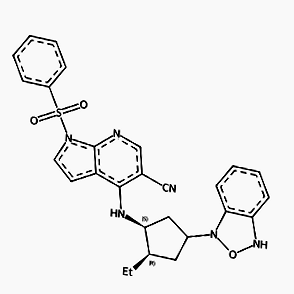 CC[C@@H]1CC(N2ONc3ccccc32)C[C@@H]1Nc1c(C#N)cnc2c1ccn2S(=O)(=O)c1ccccc1